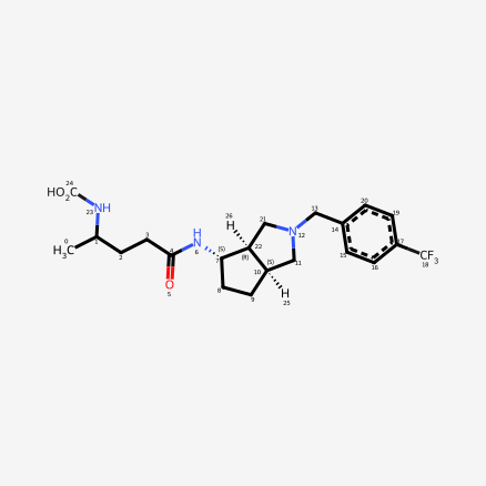 CC(CCC(=O)N[C@H]1CC[C@@H]2CN(Cc3ccc(C(F)(F)F)cc3)C[C@@H]21)NC(=O)O